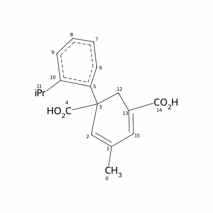 CC1=CC(C(=O)O)(c2ccccc2C(C)C)CC(C(=O)O)=C1